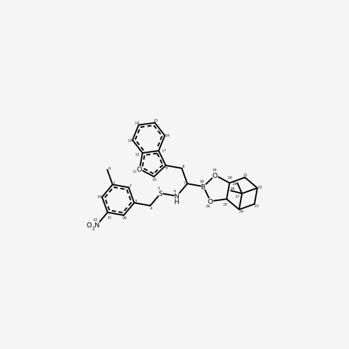 Cc1cc(CSNC(Cc2coc3ccccc23)B2OC3CC4CC(C3O2)C4(C)C)cc([N+](=O)[O-])c1